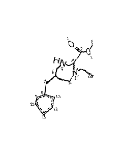 COC(=O)C1N[C@H](Cc2ccccc2)CN1C